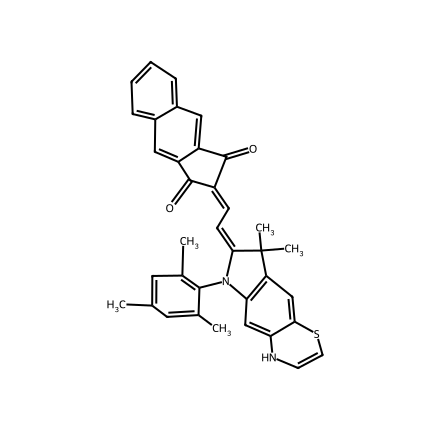 Cc1cc(C)c(N2/C(=C/C=C3C(=O)c4cc5ccccc5cc4C3=O)C(C)(C)c3cc4c(cc32)NC=CS4)c(C)c1